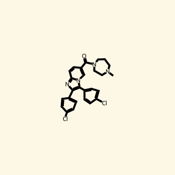 CN1CCCN(C(=O)c2ccc3nc(-c4ccc(Cl)cc4)c(-c4ccc(Cl)cc4)n3c2)CC1